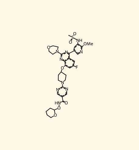 COc1ncc(-c2nc(N3CCOCC3)nc3c(OC4CCN(c5ncc(C(=O)NOC6CCCCO6)cn5)CC4)cc(F)cc23)cc1NS(C)(=O)=O